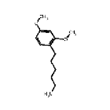 CCCCCCc1ccc(OC)cc1OC